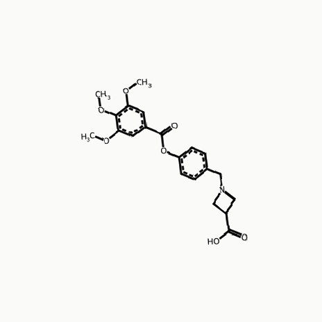 COc1cc(C(=O)Oc2ccc(CN3CC(C(=O)O)C3)cc2)cc(OC)c1OC